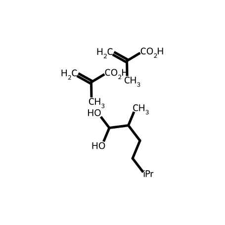 C=C(C)C(=O)O.C=C(C)C(=O)O.CC(C)CCC(C)C(O)O